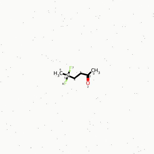 CC(=O)CC[Si](C)(F)F